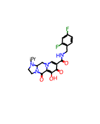 CC(C)N1CCN2C(=O)c3c(O)c(=O)c(C(=O)NCc4ccc(F)cc4F)cn3CC21